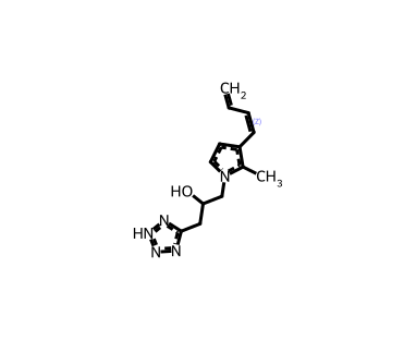 C=C/C=C\c1ccn(CC(O)Cc2nn[nH]n2)c1C